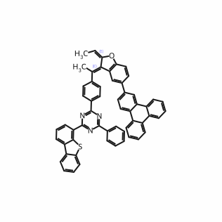 C/C=c1/oc2ccc(-c3ccc4c5ccccc5c5ccccc5c4c3)cc2/c1=C(/C)c1ccc(-c2nc(-c3ccccc3)nc(-c3cccc4c3sc3ccccc34)n2)cc1